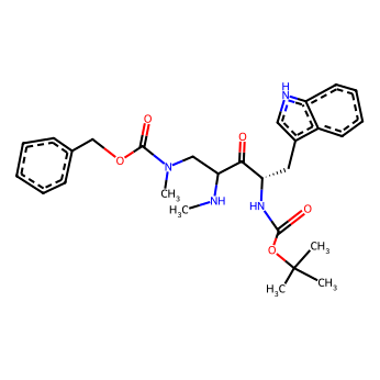 CNC(CN(C)C(=O)OCc1ccccc1)C(=O)[C@H](Cc1c[nH]c2ccccc12)NC(=O)OC(C)(C)C